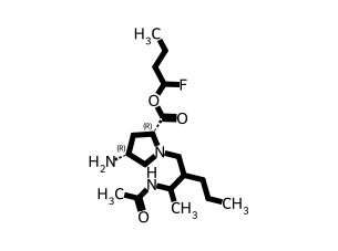 CCCC(F)OC(=O)[C@H]1C[C@@H](N)CN1CC(CCC)C(C)NC(C)=O